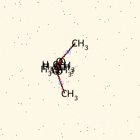 CCCCCCCC/C=C/CCCCCCCC(=O)OC1CC(C)(C)N(OCC(C)(C)OC(=O)CCCCCCC/C=C/CCCCCCCC)C(C)(C)C1